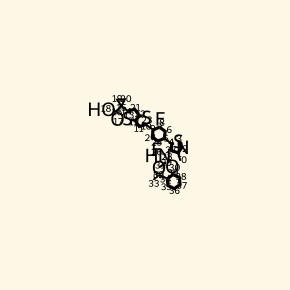 Cc1nsc(-c2cc(F)c(-c3cc4sc(C5(C(=O)O)CC5)cc4s3)cc2F)c1NC(=O)O[C@H](C)c1ccccc1